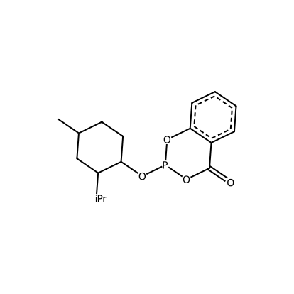 CC1CCC(OP2OC(=O)c3ccccc3O2)C(C(C)C)C1